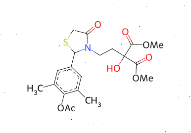 COC(=O)C(O)(CCN1C(=O)CSC1c1cc(C)c(OC(C)=O)c(C)c1)C(=O)OC